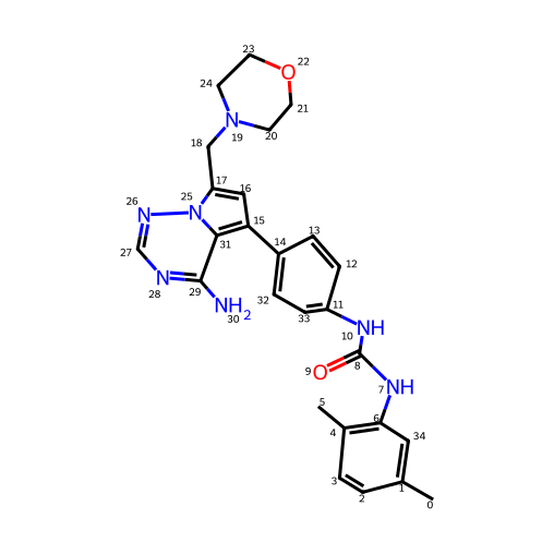 Cc1ccc(C)c(NC(=O)Nc2ccc(-c3cc(CN4CCOCC4)n4ncnc(N)c34)cc2)c1